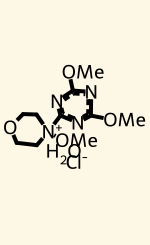 COc1nc(OC)nc([N+]2(OC)CCOCC2)n1.O.[Cl-]